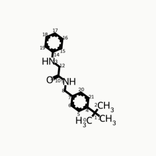 CC(C)(C)c1ccc(CNC(=O)CNc2ccccc2)cc1